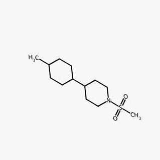 CC1CCC(C2CCN(S(C)(=O)=O)CC2)CC1